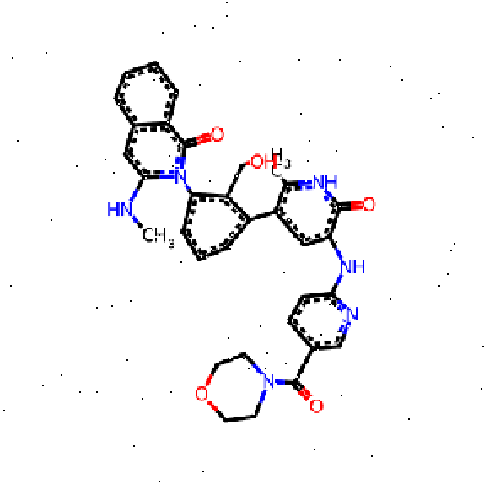 CNc1cc2ccccc2c(=O)n1-c1cccc(-c2cc(Nc3ccc(C(=O)N4CCOCC4)cn3)c(=O)[nH]c2C)c1CO